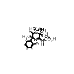 CC1(c2ccccc2F)N=C(NC(=O)O)C(C)(C)S(O)(O)C1F